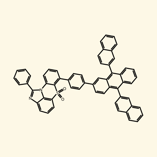 O=S1(=O)c2c(-c3ccc(-c4ccc5c(-c6ccc7ccccc7c6)c6ccccc6c(-c6ccc7ccccc7c6)c5c4)cc3)cccc2-n2c(-c3ccccc3)nc3cccc1c32